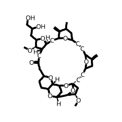 C=C1CC2CC[C@]34C[C@@H](OC)C(O3)[C@H]3CC(O4)[C@H]4OC(CCC4O3)CC(=O)C[C@H]3[C@H](CC4OC(CCC1O2)CC(C)C4=C)OC(CC(O)CO)[C@@H]3OC